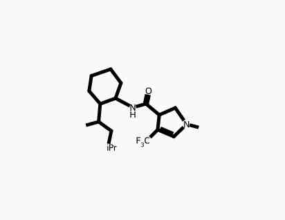 CC(C)CC(C)C1CCCCC1NC(=O)C1CN(C)C=C1C(F)(F)F